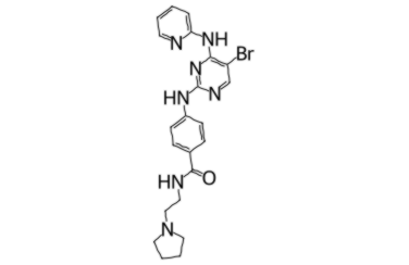 O=C(NCCN1CCCC1)c1ccc(Nc2ncc(Br)c(Nc3ccccn3)n2)cc1